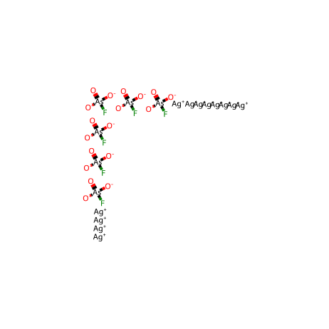 O=[As]([O-])([O-])F.O=[As]([O-])([O-])F.O=[As]([O-])([O-])F.O=[As]([O-])([O-])F.O=[As]([O-])([O-])F.O=[As]([O-])([O-])F.[Ag+].[Ag+].[Ag+].[Ag+].[Ag+].[Ag+].[Ag+].[Ag+].[Ag+].[Ag+].[Ag+].[Ag+]